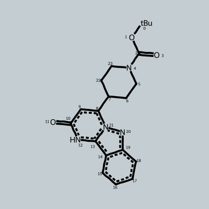 CC(C)(C)OC(=O)N1CCC(c2cc(=O)[nH]c3c4ccccc4nn23)CC1